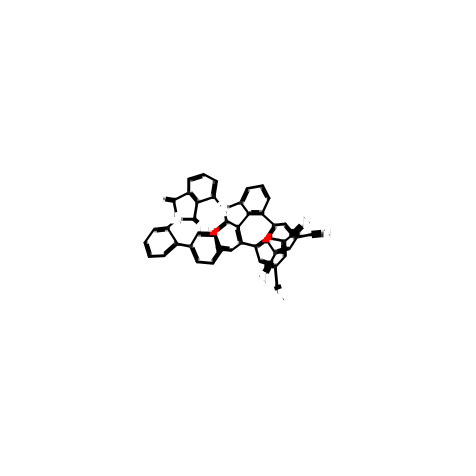 N#Cc1cc(C#N)cc(-c2cccc3c2c2c(-c4cc(C#N)cc(C#N)c4)cccc2n3-c2cccc3c2C(=O)N(c2ccccc2-c2ccccc2)C3=O)c1